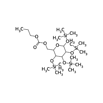 CCCOC(=O)OCC1OC(O[Si](C)(C)C)C(O[Si](C)(C)C)C(O[Si](C)(C)C)C1O[Si](C)(C)C